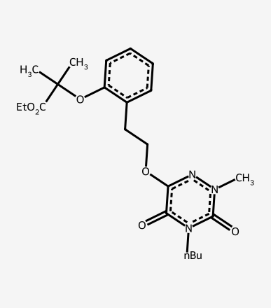 CCCCn1c(=O)c(OCCc2ccccc2OC(C)(C)C(=O)OCC)nn(C)c1=O